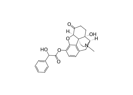 CN1CC[C@]23c4c5ccc(OC(=O)C(O)c6ccccc6)c4O[C@H]2C(=O)CC[C@@]3(O)[C@H]1C5